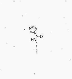 O=C(NCCF)n1ccnc1